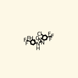 Cn1c(Nc2ccc(C(F)(F)F)cc2)nc2cc(C(F)(F)F)cc(Cl)c21